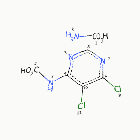 NC(=O)O.O=C(O)Nc1ncnc(Cl)c1Cl